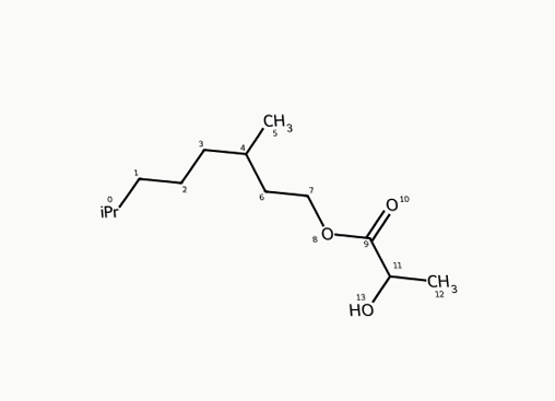 CC(C)CCCC(C)CCOC(=O)C(C)O